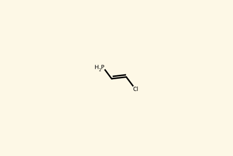 PC=CCl